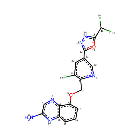 Nc1cnc2c(OCc3ncc(-c4nnc(C(F)F)o4)cc3F)cccc2n1